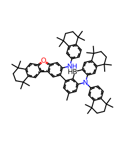 Cc1cc(-c2cc3c(cc2Nc2ccc4c(c2)C(C)(C)CCC4(C)C)oc2cc4c(cc23)C(C)(C)CCC4(C)C)c2c(c1)N(c1ccc3c(c1)C(C)(C)CCC3(C)C)c1cc3c(cc1B2)C(C)(C)CCC3(C)C